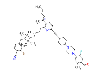 CCC/C=C(\C)c1ccc(C#CC2CCC(N3CCN(c4cc(C)c(C=O)cc4F)CC3)CC2)nc1CCCCC1C(C)(C)C(Cc2ccc(C#N)c(Br)c2)C1(C)C